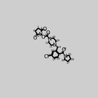 O=C(ON1C(=O)CCC1=O)N1CCN(Cc2cc(Cl)ccc2C(=O)N2CCCC2)CC1